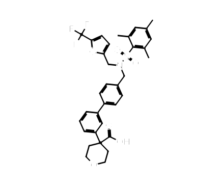 Cc1cc(C)c(S(=O)(=O)N(Cc2ccc(-c3cccc(C4(C(=O)O)CCOCC4)c3)cc2)Cc2ccc(C(F)(F)F)o2)c(C)c1